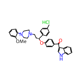 COc1ccccc1N1CCN(CC[C@H](Oc2ccc(C(=O)c3c[nH]c4ccccc34)cc2)c2ccc(C)cc2)CC1.Cl